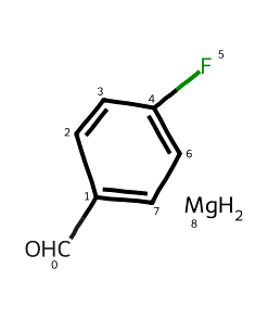 O=Cc1ccc(F)cc1.[MgH2]